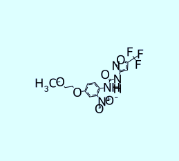 COCCOc1ccc(NC(=O)Nc2cc(C(F)(F)F)on2)c([N+](=O)[O-])c1